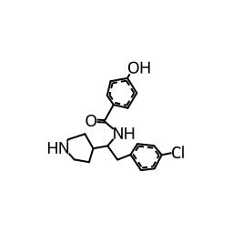 O=C(NC(Cc1ccc(Cl)cc1)C1CCNCC1)c1ccc(O)cc1